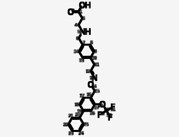 O=C(O)CCNCc1ccc(CC=NOCc2ccc(-c3ccccc3)cc2OC(F)(F)F)cc1